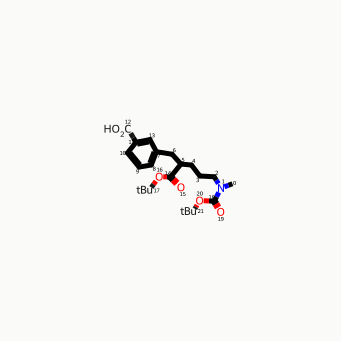 CN(CCCC(Cc1cccc(C(=O)O)c1)C(=O)OC(C)(C)C)C(=O)OC(C)(C)C